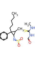 CCCCCC1(c2ccccc2)C(C)C1N=S(=O)=O.CNC(=S)NC=O